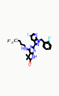 CC1(C)C(=O)Nc2nc(-c3nn(Cc4ccccc4F)c4ncc(F)cc34)nc(NCCCC(F)(F)F)c21